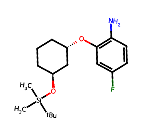 CC(C)(C)[Si](C)(C)O[C@H]1CCC[C@H](Oc2cc(F)ccc2N)C1